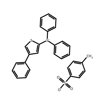 Cc1ccc(S(=O)(=O)[O-])cc1.c1ccc(-c2csc([S+](c3ccccc3)c3ccccc3)c2)cc1